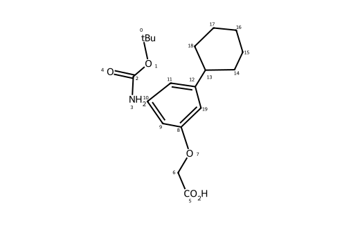 CC(C)(C)OC(N)=O.O=C(O)COc1cccc(C2CCCCC2)c1